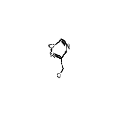 [O]Cc1ncon1